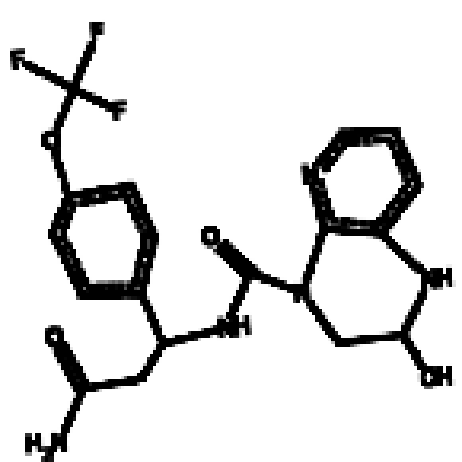 NC(=O)CC(NC(=O)N1CC(O)Nc2cccnc21)c1ccc(OC(F)(F)F)cc1